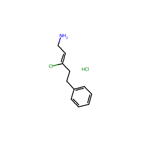 Cl.NC/C=C(\Cl)CCc1ccccc1